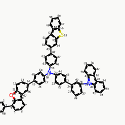 c1ccc(-c2cccc3c2oc2ccc(-c4ccc(N(c5ccc(-c6cccc(-n7c8ccccc8c8ccccc87)c6)cc5)c5ccc(-c6ccc7c(c6)sc6ccccc67)cc5)cc4)cc23)cc1